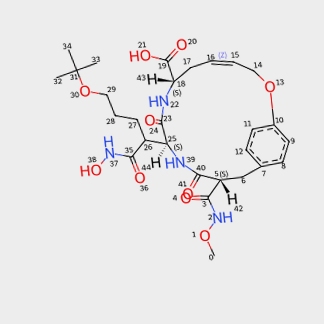 CONC(=O)[C@H]1Cc2ccc(cc2)OC/C=C\C[C@@H](C(=O)O)NC(=O)[C@H](C(CCCOC(C)(C)C)C(=O)NO)NC1=O